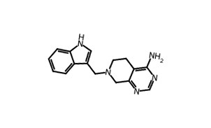 Nc1ncnc2c1CCN(Cc1c[nH]c3ccccc13)C2